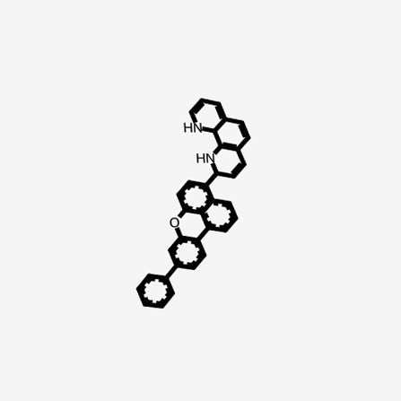 C1=CNC2C(=C1)C=CC1=C2NC(c2ccc3c4c(cccc24)-c2ccc(-c4ccccc4)cc2O3)C=C1